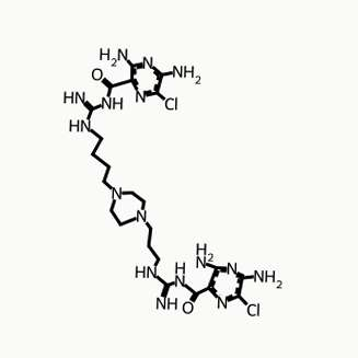 N=C(NCCCCN1CCN(CCCNC(=N)NC(=O)c2nc(Cl)c(N)nc2N)CC1)NC(=O)c1nc(Cl)c(N)nc1N